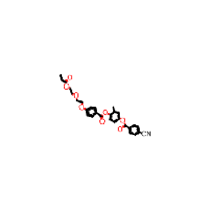 C=CC(=O)OCCOCCOc1ccc(C(=O)Oc2ccc(OC(=O)c3ccc(C#N)cc3)cc2C)cc1